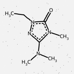 CCn1nc(N(C)C)n(C)c1=O